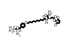 CC(C)(C)OC(=O)c1ccc(OCCCCCCCCCC(=O)N[C@@H](CCC(=O)ON2C(=O)CCC2=O)C(N)=O)cc1